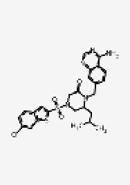 CC(C)CC1CN(S(=O)(=O)c2cc3ccc(Cl)cc3s2)CC(=O)N1Cc1ccc2c(N)ncnc2c1